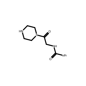 CCCC(=O)NCC(=O)N1CCNCC1